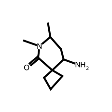 CC1CC(N)C2(CCC2)C(=O)N1C